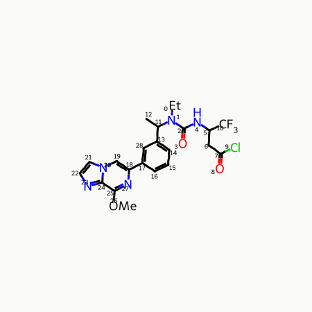 CCN(C(=O)NC(CC(=O)Cl)C(F)(F)F)C(C)c1cccc(-c2cn3ccnc3c(OC)n2)c1